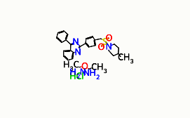 CC1CCN(S(=O)(=O)Cc2ccc(-c3nc(-c4ccccc4)c4ccccc4n3)cc2)CC1.CCOCC.Cl.NN